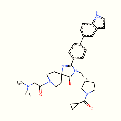 CN(C)CC(=O)N1CCC2(CC1)N=C(c1ccc(-c3ccc4[nH]ccc4c3)cc1)N(C[C@@H]1CCN(C(=O)C3CC3)C1)C2=O